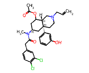 C=CCN1CC[C@@]2(c3cccc(O)c3)C[C@@H](N(C)C(=O)Cc3ccc(Cl)c(Cl)c3)CC(OC(C)=O)[C@@H]2C1